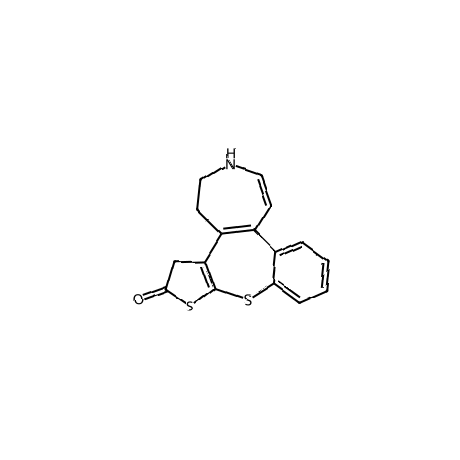 O=C1CC2=C(S1)Sc1ccccc1C1=C2CCNC=C1